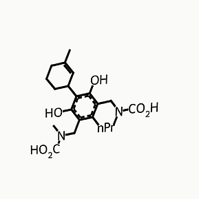 CCCc1c(CN(C)C(=O)O)c(O)c(C2C=C(C)CCC2)c(O)c1CN(C)C(=O)O